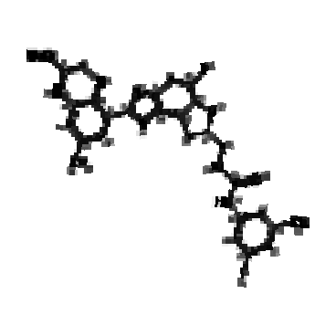 COc1cnc2c(-c3nc4cc(F)c5c(c4s3)CC(COC(=O)Nc3cc(F)cc(C#N)c3)O5)cc(C)cc2n1